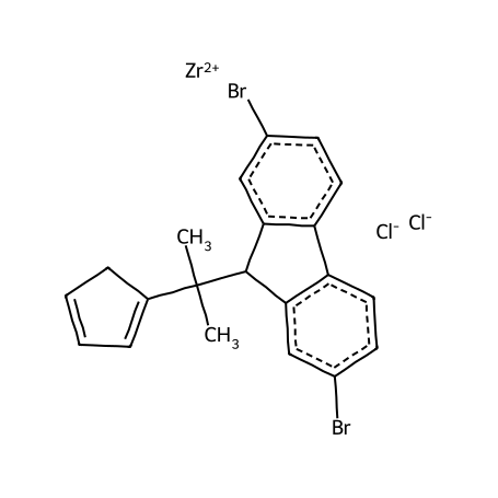 CC(C)(C1=CC=CC1)C1c2cc(Br)ccc2-c2ccc(Br)cc21.[Cl-].[Cl-].[Zr+2]